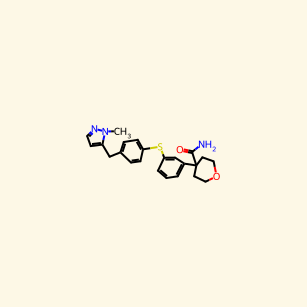 Cn1nccc1Cc1ccc(Sc2cccc(C3(C(N)=O)CCOCC3)c2)cc1